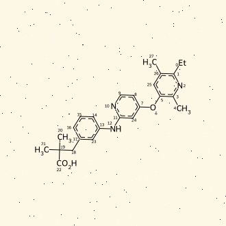 CCc1nc(C)c(Oc2ccnc(Nc3cccc(CC(C)(C)C(=O)O)c3)c2)cc1C